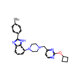 CC(C)(C)c1ccc(-c2nc3cccc(N4CCN(Cc5ccnc(OC6CCC6)n5)CC4)c3[nH]2)cc1